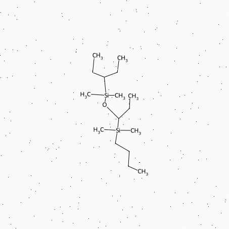 CCCC[Si](C)(C)C(CC)O[Si](C)(C)C(CC)CC